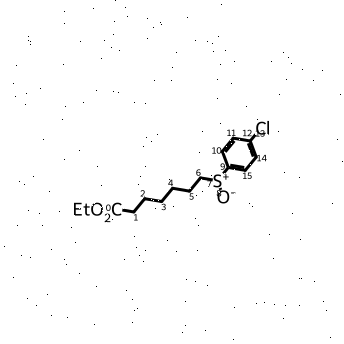 CCOC(=O)CCCCCC[S+]([O-])c1ccc(Cl)cc1